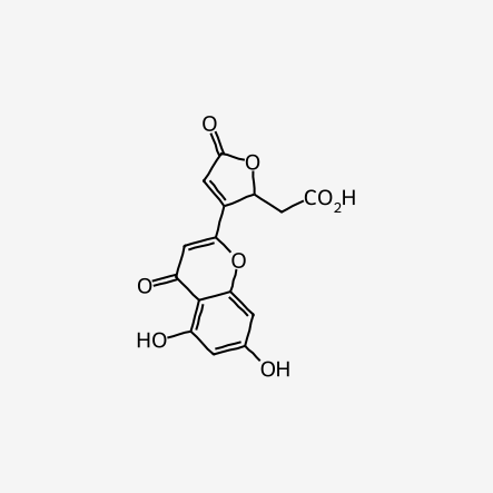 O=C(O)CC1OC(=O)C=C1c1cc(=O)c2c(O)cc(O)cc2o1